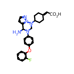 NC1c2ccnn2N(C2CCC(=CC(=O)O)CC2)CN1c1ccc(Oc2ccccc2F)cc1